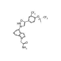 C[C@H](Oc1ccc(C2=CN(c3cccc4c3ccn4CC(N)=O)NO2)cc1C(F)(F)F)C(F)(F)F